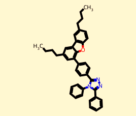 CCCCc1ccc2oc3c(-c4ccc(-c5nnc(-c6ccccc6)n5-c5ccccc5)cc4)cc(CCCC)cc3c2c1